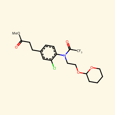 COC(=O)CCc1ccc(N(CCOC2CCCCO2)C(=O)C(F)(F)F)c(Cl)c1